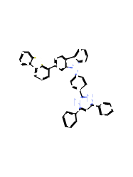 c1ccc(-c2cc(-c3ccccc3)nc(-c3ccc(-n4c5ccccc5c5ccc(-c6cccc7c6sc6ccccc67)cc54)cc3)n2)cc1